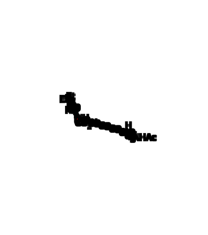 CCN(CC)c1ccc2cc(C(=O)NCCCCC(CC(=O)O)NC(=O)CCOCCOCCOCCOCCOCCOCCOCCOCCNS(=O)(=O)c3nc(NC(C)=O)sc3C)c(=O)oc2c1